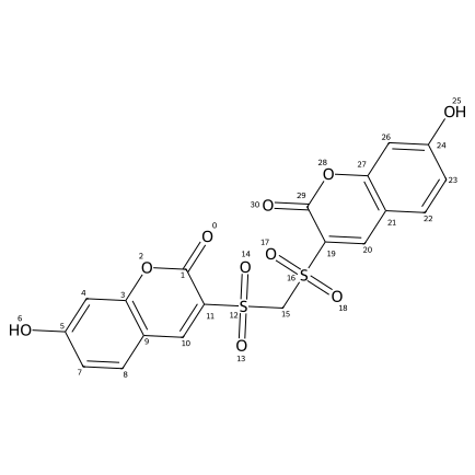 O=c1oc2cc(O)ccc2cc1S(=O)(=O)CS(=O)(=O)c1cc2ccc(O)cc2oc1=O